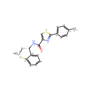 O=C(O)C[C@H](NC(=O)c1csc(-c2ccc(C(F)(F)F)cc2)n1)c1ccccc1F